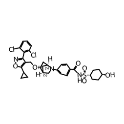 O=C(NS(=O)(=O)[C@H]1CC[C@H](O)CC1)c1ccc(N2C[C@@H]3C[C@H]2C[C@H]3OCc2c(-c3c(Cl)cccc3Cl)noc2C2CC2)cc1